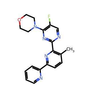 Cc1ccc(-c2ccccn2)nc1-c1ncc(F)c(N2CCOCC2)n1